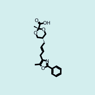 Cc1oc(-c2ccccc2)nc1C/C=C/C[C@H]1CO[C@@](C)(C(=O)O)OC1